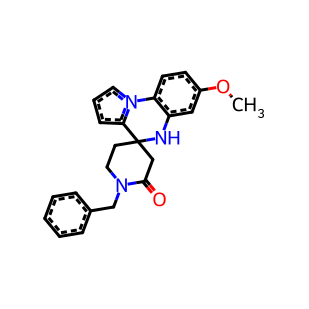 COc1ccc2c(c1)NC1(CCN(Cc3ccccc3)C(=O)C1)c1cccn1-2